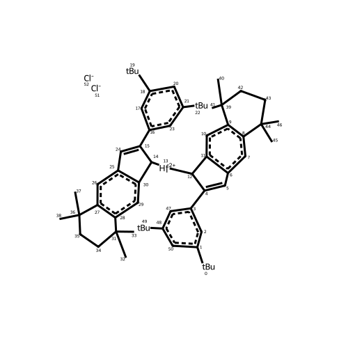 CC(C)(C)c1cc(C2=Cc3cc4c(cc3[CH]2[Hf+2][CH]2C(c3cc(C(C)(C)C)cc(C(C)(C)C)c3)=Cc3cc5c(cc32)C(C)(C)CCC5(C)C)C(C)(C)CCC4(C)C)cc(C(C)(C)C)c1.[Cl-].[Cl-]